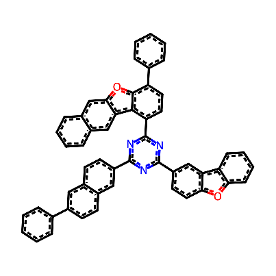 c1ccc(-c2ccc3cc(-c4nc(-c5ccc6oc7ccccc7c6c5)nc(-c5ccc(-c6ccccc6)c6oc7cc8ccccc8cc7c56)n4)ccc3c2)cc1